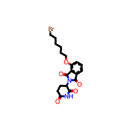 O=C1CCC(N2C(=O)c3cccc(OCCCCCCBr)c3C2=O)C(=O)N1